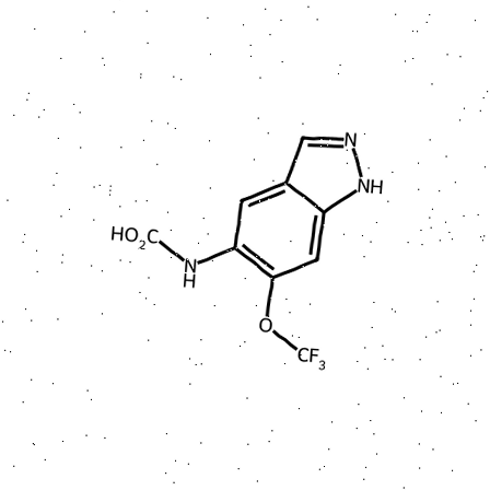 O=C(O)Nc1cc2cn[nH]c2cc1OC(F)(F)F